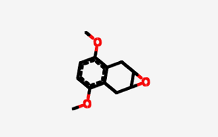 COc1ccc(OC)c2c1CC1OC1C2